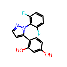 Oc1ccc(-c2ccnn2-c2c(F)cccc2F)c(O)c1